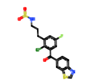 O=C(c1ccc2ncsc2c1)c1cc(F)cc(CCCN[SH](=O)=O)c1Cl